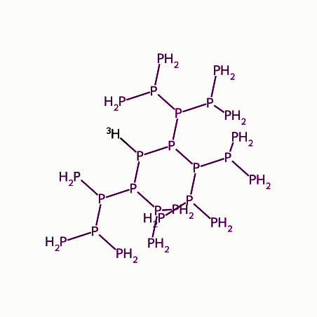 [3H]P(P(P(P)P)P(P)P(P)P)P(P(P(P)P)P(P)P)P(P(P)P)P(P)P